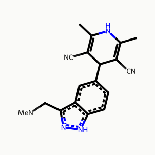 CNCc1n[nH]c2ccc(C3C(C#N)=C(C)NC(C)=C3C#N)cc12